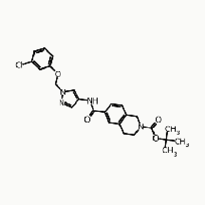 CC(C)(C)OC(=O)N1CCc2cc(C(=O)Nc3cnn(COc4cccc(Cl)c4)c3)ccc2C1